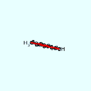 CCOC(=O)CCCCCOC(=O)CCCCCOC(=O)CCCCCOC(=O)CCCCCOC(=O)CCCCCOC(=O)CCCCCOC(=O)CCCCCO